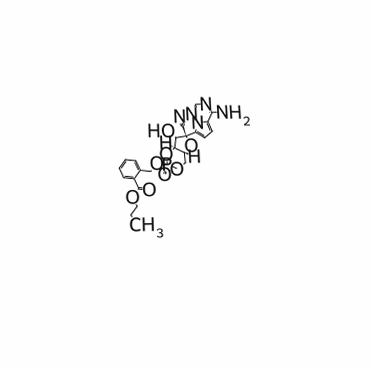 CCCOC(=O)c1ccccc1COP1(=O)OC[C@H]2O[C@@](C#N)(c3ccc4c(N)ncnn34)[C@H](O)[C@@H]2O1